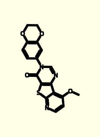 COc1ccnc2sc3c(=O)n(-c4ccc5c(c4)OCCO5)cnc3c12